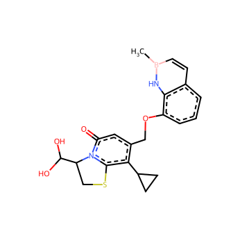 CB1C=Cc2cccc(OCc3cc(=O)n4c(c3C3CC3)SCC4C(O)O)c2N1